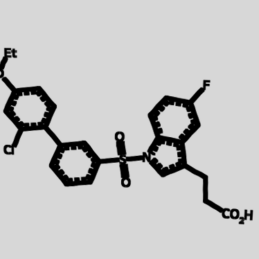 CCOc1ccc(-c2cccc(S(=O)(=O)n3cc(CCC(=O)O)c4cc(F)ccc43)c2)c(Cl)c1